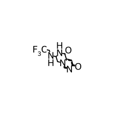 O=C1NC(NCC(F)(F)F)Cn2cnc(=O)cc21